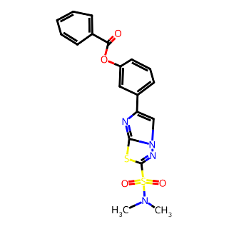 CN(C)S(=O)(=O)c1nn2cc(-c3cccc(OC(=O)c4ccccc4)c3)nc2s1